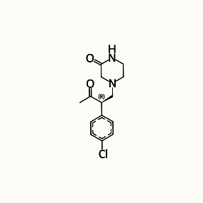 CC(=O)[C@@H](CN1CCNC(=O)C1)c1ccc(Cl)cc1